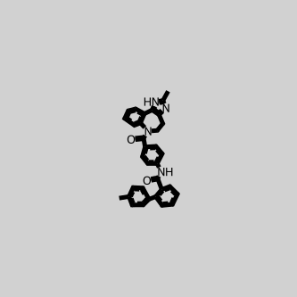 Cc1ccc(-c2ccccc2C(=O)Nc2ccc(C(=O)N3CCc4nc(C)[nH]c4-c4ccccc43)cc2)cc1